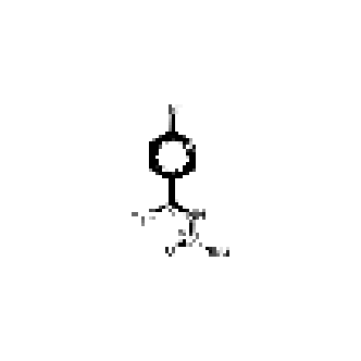 C[C@H](N[S@@+]([O-])C(C)(C)C)c1ccc(Br)nc1